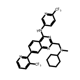 CN(Cc1nc(Nc2ccc(C(F)(F)F)nc2)c2ccc(-c3ncccc3C(F)(F)F)cc2n1)C1CCCCC1